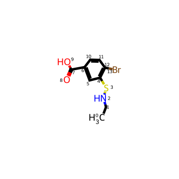 CCNSc1cc(C(=O)O)ccc1Br